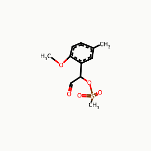 COc1ccc(C)cc1C(C=O)OS(C)(=O)=O